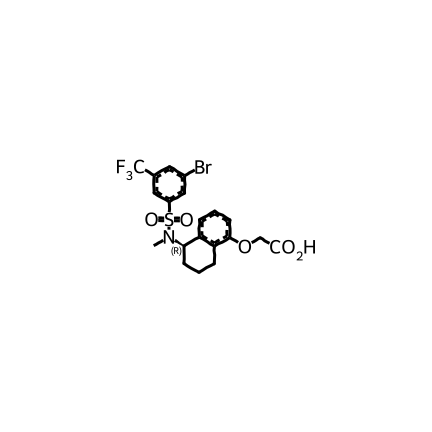 CN([C@@H]1CCCc2c(OCC(=O)O)cccc21)S(=O)(=O)c1cc(Br)cc(C(F)(F)F)c1